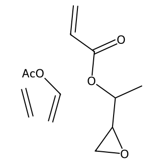 C=C.C=CC(=O)OC(C)C1CO1.C=COC(C)=O